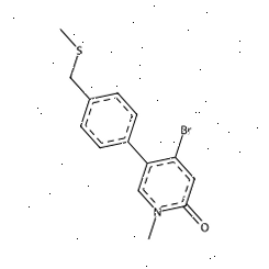 CSCc1ccc(-c2cn(C)c(=O)cc2Br)cc1